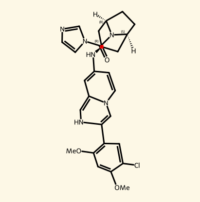 COc1cc(OC)c(C2=CN3C=CC(N[C@H]4C[C@H]5CC[C@@H](C4)N5C(=O)n4ccnc4)=CC3=CN2)cc1Cl